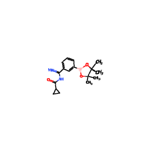 CC1(C)OB(c2cccc(C(=N)NC(=O)C3CC3)c2)OC1(C)C